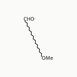 COCCCCCCCCCCCCCCCCC[C]=O